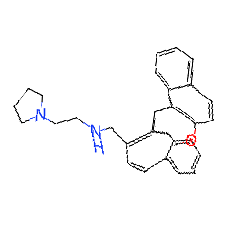 COc1ccc2ccccc2c1Cc1c(CNCCN2CCCC2)ccc2ccccc12